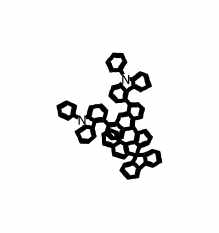 c1ccc(-n2c3ccccc3c3c(-c4cccc5c(-c6cccc7c6-c6c(ccc8ccccc68)C76c7ccccc7-c7ccccc76)c6cccc(-c7cccc8c7c7ccccc7n8-c7ccccc7)c6cc45)cccc32)cc1